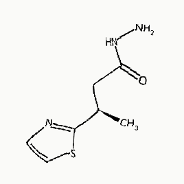 C[C@H](CC(=O)NN)c1nccs1